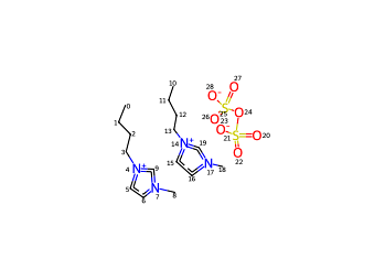 CCCC[n+]1ccn(C)c1.CCCC[n+]1ccn(C)c1.O=S(=O)([O-])OS(=O)(=O)[O-]